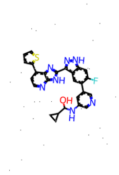 OC(Nc1cncc(-c2cc3c(-c4nc5c(-c6cccs6)ccnc5[nH]4)n[nH]c3cc2F)c1)C1CC1